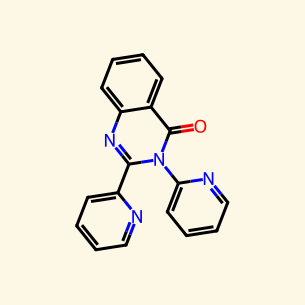 O=c1c2ccccc2nc(-c2ccccn2)n1-c1ccccn1